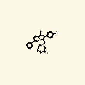 O=C1CN(CC2C(c3ccc(Cl)cc3)NC3C=CC(c4ccccc4)=CN32)CCN=N1